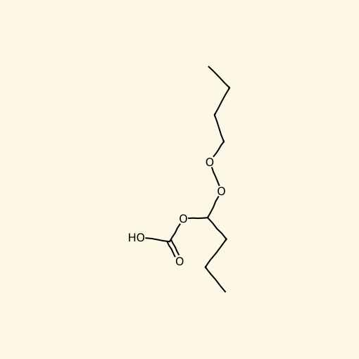 CCCCOOC(CCC)OC(=O)O